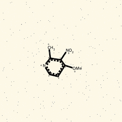 COc1ccnc(C)c1[N+](=O)[O-]